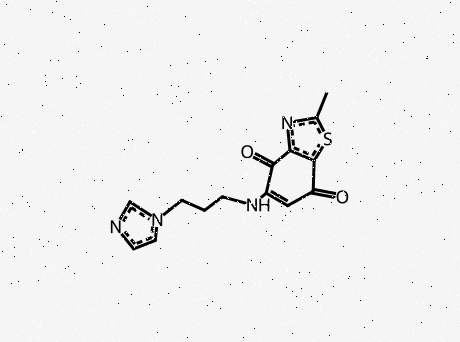 Cc1nc2c(s1)C(=O)C=C(NCCCn1ccnc1)C2=O